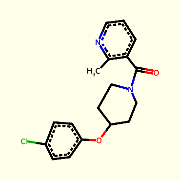 Cc1ncccc1C(=O)N1CCC(Oc2ccc(Cl)cc2)CC1